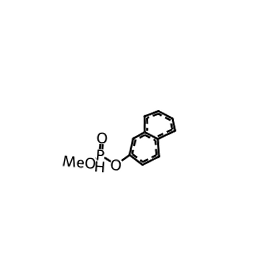 CO[PH](=O)Oc1ccc2ccccc2c1